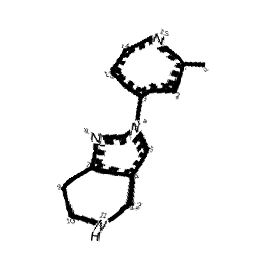 Cc1cc(-n2cc3c(n2)CCNC3)ccn1